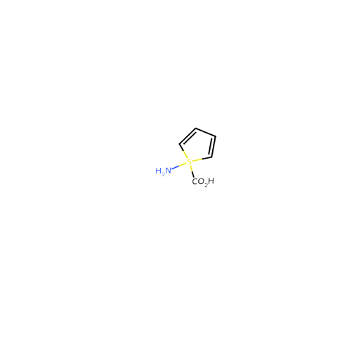 NS1(C(=O)O)C=CC=C1